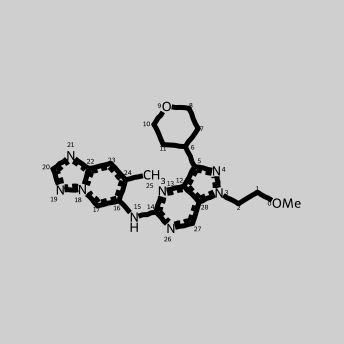 COCCn1nc(C2CCOCC2)c2nc(Nc3cn4ncnc4cc3C)ncc21